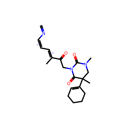 C=N/C=C\C=C(/C)C(=O)CN1C(=O)N(C)CC(C)(C2=CCCCC2)C1=O